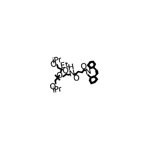 CCC(C)(CCOC(C)C)OC(CNC(=O)CCC(=O)N1Cc2ccccc2C#Cc2ccccc21)COC(C)(C)CCOC(C)C